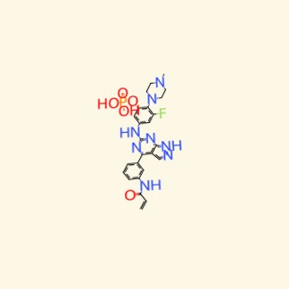 C=CC(=O)Nc1cccc(-c2nc(Nc3cc(F)c(N4CCN(C)CC4)c(OP(=O)(O)O)c3)nc3[nH]ncc23)c1